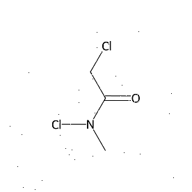 CN(Cl)C(=O)CCl